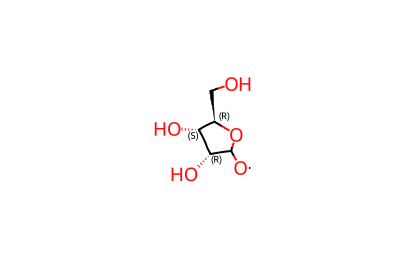 [O]C1O[C@H](CO)[C@@H](O)[C@H]1O